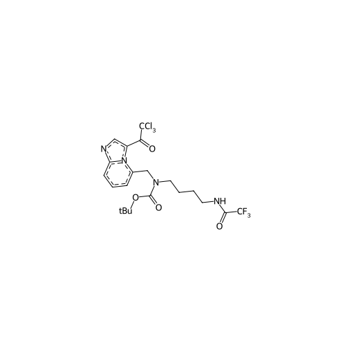 CC(C)(C)OC(=O)N(CCCCNC(=O)C(F)(F)F)Cc1cccc2ncc(C(=O)C(Cl)(Cl)Cl)n12